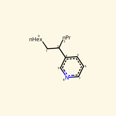 CCCCCCCC(CCC)c1cccnc1